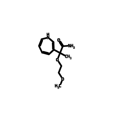 COCCOC(C)(C(N)=O)C1=CNC=CC=C1